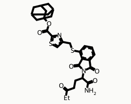 CCC(=O)CCC(C(N)=O)N1C(=O)c2cccc(SCc3csc(C(=O)OC45CC6CC(CC(C6)C4)C5)n3)c2C1=O